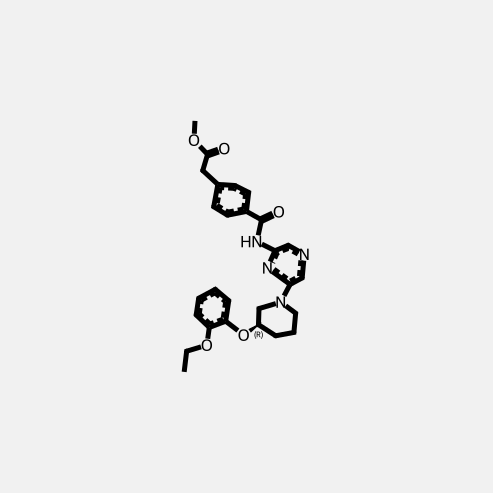 CCOc1ccccc1O[C@@H]1CCCN(c2cncc(NC(=O)c3ccc(CC(=O)OC)cc3)n2)C1